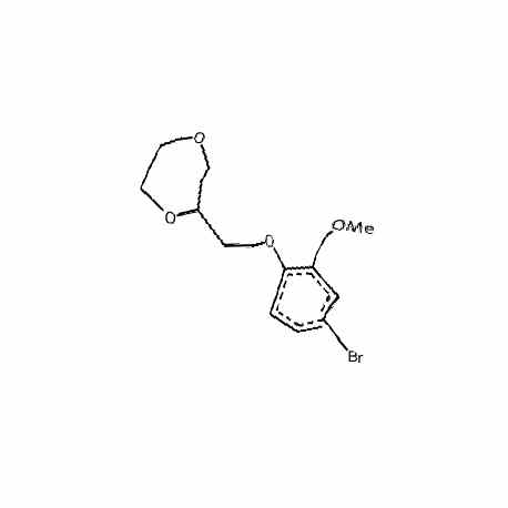 COc1cc(Br)ccc1OCC1COCCO1